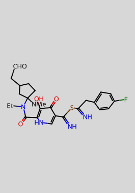 CCN(C(=O)c1[nH]cc(C(=N)SC(=N)Cc2ccc(F)cc2)c(=O)c1O)C1(NC)CCC(CC=O)C1